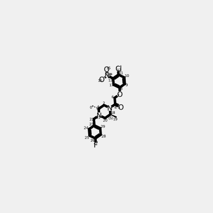 C[C@@H]1CN(C(=O)COc2ccc(Cl)c([N+](=O)[O-])c2)[C@@H](C)CN1Cc1ccc(F)cc1